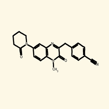 Cn1c(=O)c(Cc2ccc(C#N)cc2)nc2cc(N3CCCCC3=O)ccc21